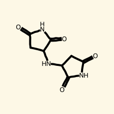 O=C1CC(NC2CC(=O)NC2=O)C(=O)N1